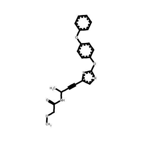 COCC(=O)NC(C)C#Cc1cnc(Oc2ccc(Oc3ccccc3)cc2)s1